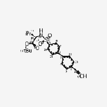 C#Cc1ccc(-c2ccc(S(=O)(=O)N[C@@H](C(=O)OC(C)(C)C)C(C)C)cc2)cc1